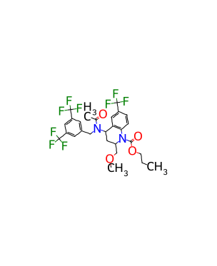 CCCOC(=O)N1c2ccc(C(F)(F)F)cc2C(N(Cc2cc(C(F)(F)F)cc(C(F)(F)F)c2)C(C)=O)CC1COC